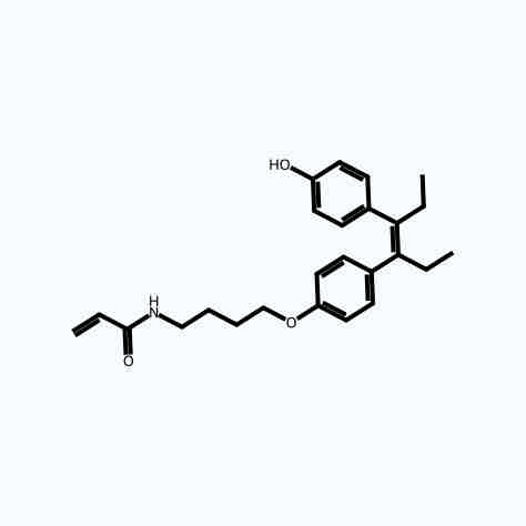 C=CC(=O)NCCCCOc1ccc(C(CC)=C(CC)c2ccc(O)cc2)cc1